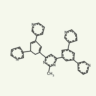 Cc1nc(C2=CC(c3cccnc3)=CC(c3cccnc3)C2)cc(-c2cc(-c3cccnc3)cc(-c3cccnc3)c2)n1